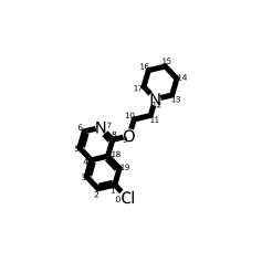 Clc1ccc2ccnc(OCCN3CCCCC3)c2c1